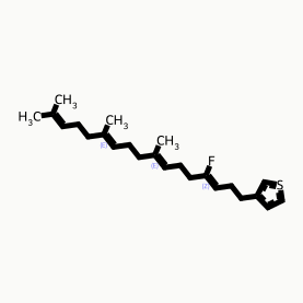 CC(C)=CCC/C(C)=C/CC/C(C)=C/CC/C(F)=C/CCc1ccsc1